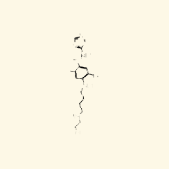 NCCNCCCCNc1cc(F)c([S+]([O-])Nc2ncns2)cc1Br